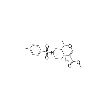 COC(=O)C1=COC(C)C2CN(S(=O)(=O)c3ccc(C)cc3)CC[C@H]12